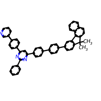 CC1(C)c2ccc(-c3ccc(-c4ccc(-c5cc(-c6ccc(-c7cccnc7)cc6)nc(-c6ccccc6)n5)cc4)cc3)cc2-c2c1ccc1ccccc21